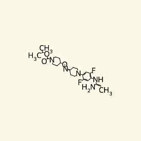 CC=C(N)Nc1cc(F)c(N2CCC(=NOC3CCN(C(=O)OC(C)C)CC3)CC2)cc1F